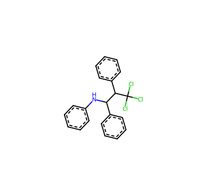 ClC(Cl)(Cl)[C](c1ccccc1)C(Nc1ccccc1)c1ccccc1